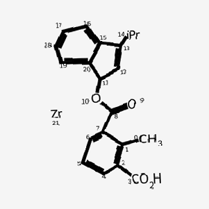 Cc1c(C(=O)O)cccc1C(=O)OC1C=C(C(C)C)c2ccccc21.[Zr]